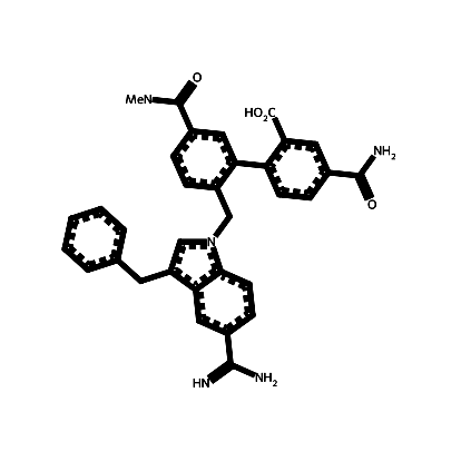 CNC(=O)c1ccc(Cn2cc(Cc3ccccc3)c3cc(C(=N)N)ccc32)c(-c2ccc(C(N)=O)cc2C(=O)O)c1